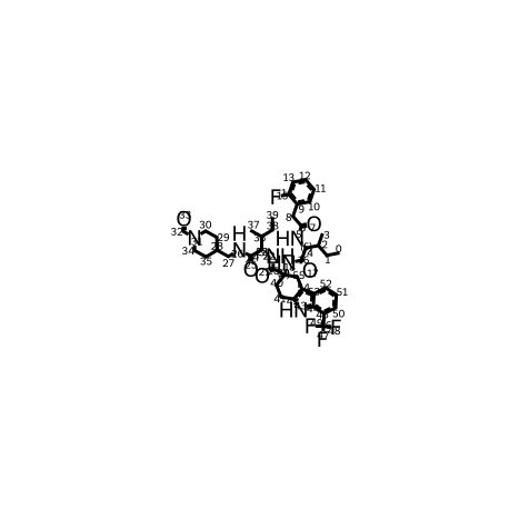 CCC(C)[C@H](NC(=O)Cc1ccccc1F)C(=O)N[C@]1(C(=O)N[C@H](C(=O)NCC2CCN(C=O)CC2)C(C)CC)CCc2[nH]c3c(C(F)(F)F)cccc3c2C1